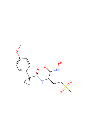 COc1ccc(C2(C(=O)N[C@H](CCS(C)(=O)=O)C(=O)NO)CC2)cc1